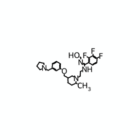 CC1CCC(COc2cccc(CN3CCCC3)c2)CN1CCNC(=NCO)c1ccc(F)c(F)c1F